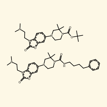 CN(C)CCn1c(=O)oc2cc(N3CCN(C(=O)NCCCCc4ccccc4)C(C)(C)C3)ccc21.CN(C)CCn1c(=O)oc2cc(N3CCN(C(=O)OC(C)(C)C)C(C)(C)C3)ccc21